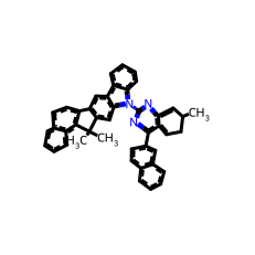 CC1C=c2nc(-n3c4ccccc4c4cc5c(cc43)C(C)(C)c3c-5ccc4ccccc34)nc(-c3ccc4ccccc4c3)c2=CC1